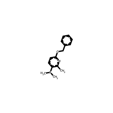 CB(C)c1ccc(OCc2ccccc2)nc1C